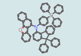 c1ccc(C2(c3ccccc3)c3ccccc3-c3c(N(c4ccc([Si](c5ccccc5)(c5ccccc5)c5ccccc5)cc4)c4cc5ccccc5c5oc6ccccc6c45)cccc32)cc1